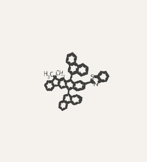 CC1(C)c2ccccc2-c2cc3c(-c4cc5ccccc5c5ccccc45)c4ccc(-c5nc6ccccc6s5)cc4c(-c4cc5ccccc5c5ccccc45)c3cc21